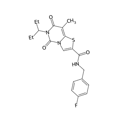 CCC(CC)n1c(=O)c(C)c2sc(C(=O)NCc3ccc(F)cc3)cn2c1=O